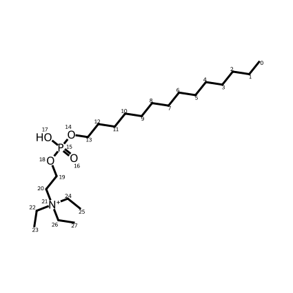 CCCCCCCCCCCCCCOP(=O)(O)OCC[N+](CC)(CC)CC